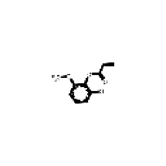 C=CC(=O)Oc1c(Cl)cccc1OC(F)(F)F